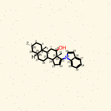 C[C@@H]1CC[C@]2(C)C3CC(O)[C@]4(C)C(n5ccc6ccccc65)=CCC4C3CC[C@@H]2C1